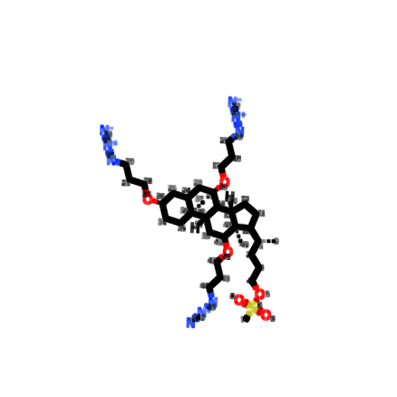 C[C@H](CCCOS(C)(=O)=O)C1CC[C@H]2C3[C@H](OCCCN=[N+]=[N-])CC4C[C@H](OCCCN=[N+]=[N-])CC[C@]4(C)[C@H]3CC(OCCCN=[N+]=[N-])[C@]12C